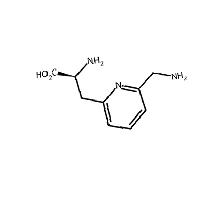 NCc1cccc(C[C@H](N)C(=O)O)n1